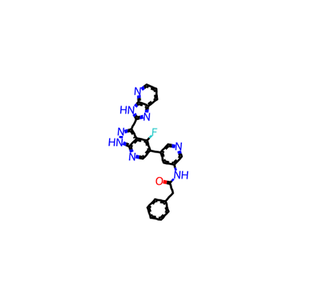 O=C(Cc1ccccc1)Nc1cncc(-c2cnc3[nH]nc(-c4nc5cccnc5[nH]4)c3c2F)c1